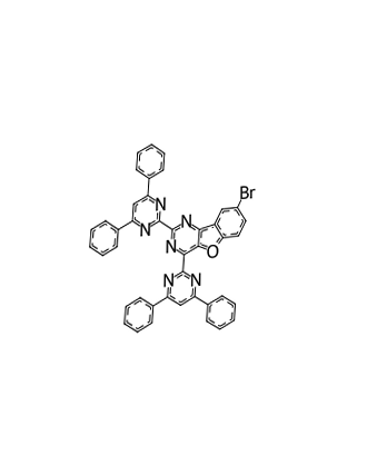 Brc1ccc2oc3c(-c4nc(-c5ccccc5)cc(-c5ccccc5)n4)nc(-c4nc(-c5ccccc5)cc(-c5ccccc5)n4)nc3c2c1